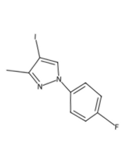 Cc1nn(-c2ccc(F)cc2)cc1I